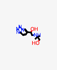 CC(C)(CO)NCC(O)c1ccc2nnnn2c1